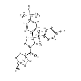 CC(=O)[C@]12CC[C@](C(=O)N3CC[C@](c4ccc(C(F)(C(F)(F)F)C(F)(F)F)cc4)(S(=O)(=O)c4ccc(F)cc4)C3)(CC1)C2